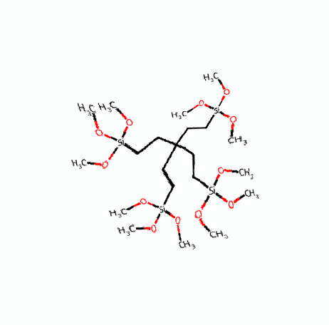 CO[Si](CCC(CC[Si](OC)(OC)OC)(CC[Si](OC)(OC)OC)CC[Si](OC)(OC)OC)(OC)OC